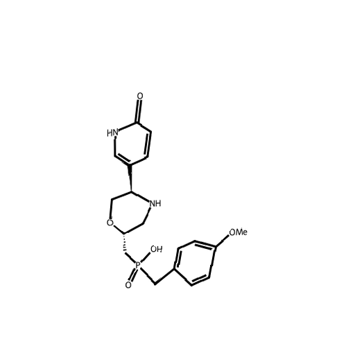 COc1ccc(CP(=O)(O)C[C@H]2CN[C@H](c3ccc(=O)[nH]c3)CO2)cc1